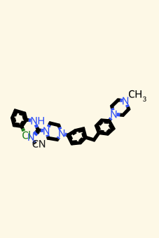 CN1CCN(c2ccc(Cc3ccc(N4CCN(/C(=N\C#N)Nc5ccccc5Cl)CC4)cc3)cc2)CC1